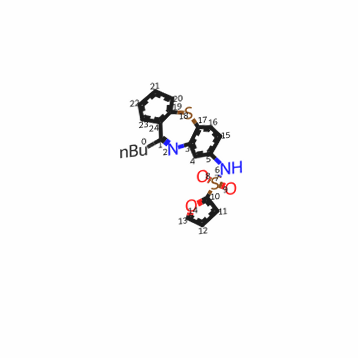 CCCCC1=Nc2cc(NS(=O)(=O)c3ccco3)ccc2Sc2ccccc21